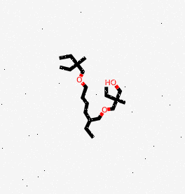 CCC(CCCCOCC(C)(CC)CC)COCC(C)(CC)CO